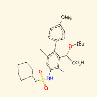 COc1ccc(-c2c(C)cc(NS(=O)(=O)CC3CCCCC3)c(C)c2C(OC(C)(C)C)C(=O)O)cc1